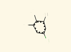 [2H]c1cc(Cl)cc([2H])c1[2H]